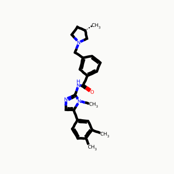 Cc1ccc(-c2cnc(NC(=O)c3cccc(CN4CC[C@H](C)C4)c3)n2C)cc1C